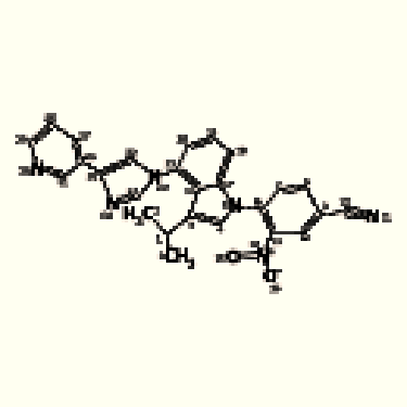 CC(C)c1cn(-c2ccc(C#N)cc2[N+](=O)[O-])c2cccc(-n3cnc(-c4cccnc4)c3)c12